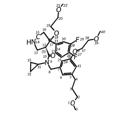 COCCCc1cc(CN(C(=O)[C@H]2CNCC[C@]2(OCCOC)c2ccc(F)c(F)c2)C2CC2)cc(OCCOC)c1